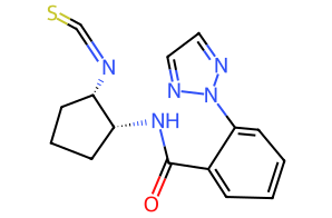 O=C(N[C@@H]1CCC[C@@H]1N=C=S)c1ccccc1-n1nccn1